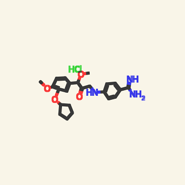 COc1ccc(C(OC)C(=O)CNc2ccc(C(=N)N)cc2)cc1OC1CCCC1.Cl